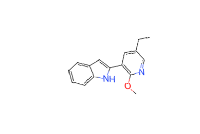 CCc1cnc(OC)c(-c2cc3ccccc3[nH]2)c1